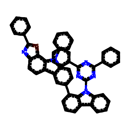 c1ccc(-c2nc(-c3ccccc3)nc(-n3c4ccccc4c4cccc(-c5ccc6c(c5)c5ccc7nc(-c8ccccc8)sc7c5n6-c5ccccc5)c43)n2)cc1